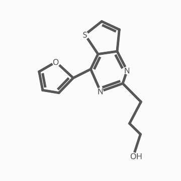 OCCCc1nc(-c2ccco2)c2sccc2n1